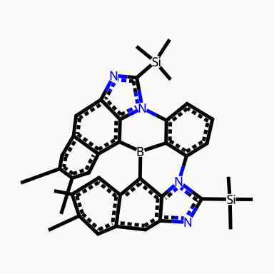 Cc1cc2cc3nc([Si](C)(C)C)n4c3c(c2cc1C)B1c2c-4cccc2-n2c([Si](C)(C)C)nc3cc4cc(C)c(C)cc4c1c32